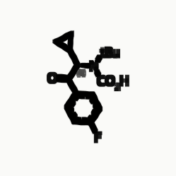 CC(C)(C)N(C(=O)O)[C@@H](C(=O)c1ccc(F)cc1)C1CC1